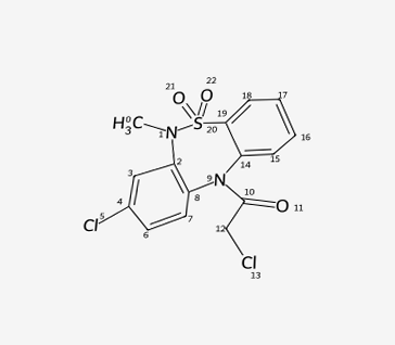 CN1c2cc(Cl)ccc2N(C(=O)CCl)c2ccccc2S1(=O)=O